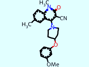 COc1cccc(OC2CCN(c3c(C#N)c(=O)n(C)c4ccc(C)cc34)CC2)c1